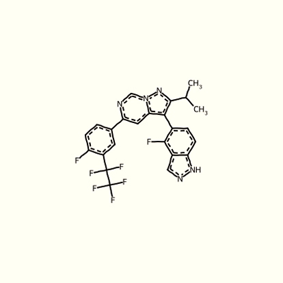 CC(C)c1nn2cnc(-c3ccc(F)c(C(F)(F)C(F)(F)F)c3)cc2c1-c1ccc2[nH]ncc2c1F